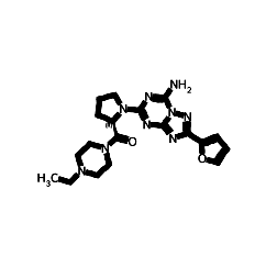 CCN1CCN(C(=O)[C@H]2CCCN2c2nc(N)n3nc(-c4ccco4)nc3n2)CC1